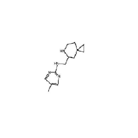 Cc1cnc(NCC2CC3(CCN2)CC3)nc1